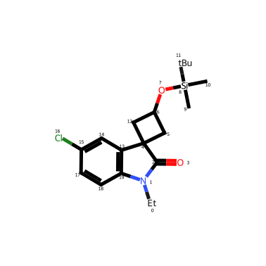 CCN1C(=O)C2(CC(O[Si](C)(C)C(C)(C)C)C2)c2cc(Cl)ccc21